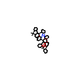 CC1(C)c2ccccc2-c2ccc(-c3cccc(N(c4ccccc4-c4cccc5c4-c4ccccc4C5(C)C)c4ccccc4-c4cccc5oc6ccccc6c45)c3)cc21